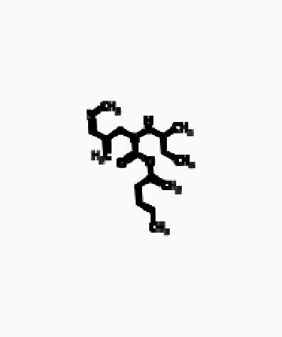 C=C(/C=N\C)CN(BC(C)CC)C(=O)OC(=C)/C=C\CC